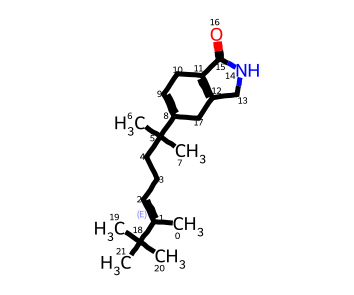 C/C(=C\CCC(C)(C)C1=CCC2=C(CNC2=O)C1)C(C)(C)C